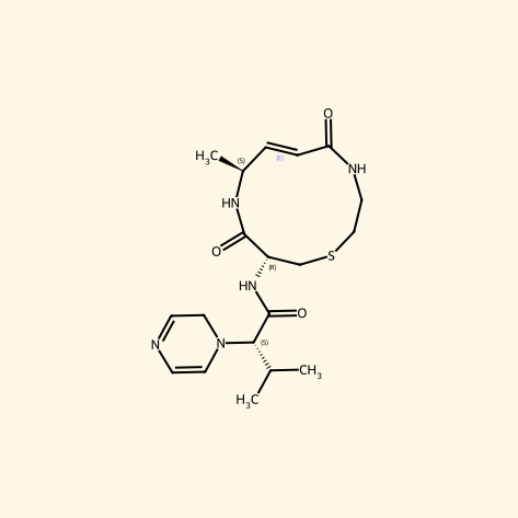 CC(C)[C@@H](C(=O)N[C@H]1CSCCNC(=O)/C=C/[C@H](C)NC1=O)N1C=CN=CC1